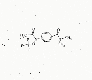 CC(=O)N(OC(F)(F)F)c1ccc(C(=O)N(C)C)cc1